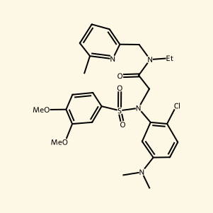 CCN(Cc1cccc(C)n1)C(=O)CN(c1cc(N(C)C)ccc1Cl)S(=O)(=O)c1ccc(OC)c(OC)c1